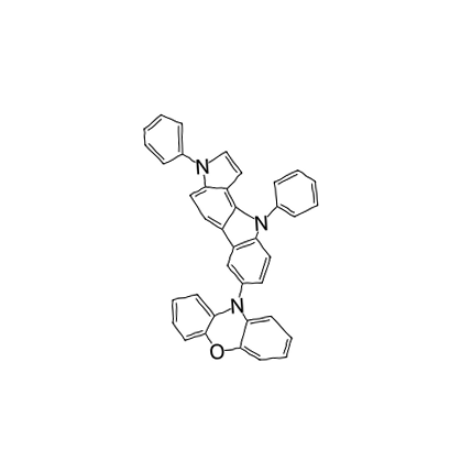 c1ccc(-n2ccc3c2ccc2c4cc(N5c6ccccc6Oc6ccccc65)ccc4n(-c4ccccc4)c23)cc1